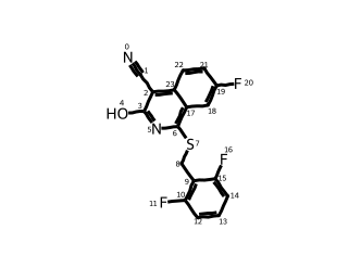 N#Cc1c(O)nc(SCc2c(F)cccc2F)c2cc(F)ccc12